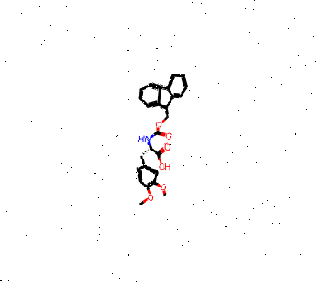 COc1ccc(C[C@H](NC(=O)OCC2c3ccccc3-c3ccccc32)C(=O)O)cc1OC